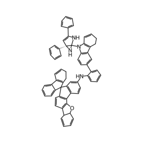 C1=CC2Oc3c(ccc4c3-c3ccc(Nc5ccccc5-c5ccc6c(c5)c5c(n6C67NC(c8ccccc8)=C[C@]6(c6ccccc6)N7)C=CCC5)cc3C43C4=C(C=CCC4)c4ccccc43)C2C=C1